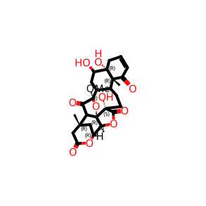 CO[C@]12O[C@@]34C(C1=O)[C@@]1(C)CC(=O)O[C@H](C1)[C@]3(C)OC(=O)[C@]4(O)CCC1C2CC(O)[C@@]2(O)CC=CC(=O)[C@]12C